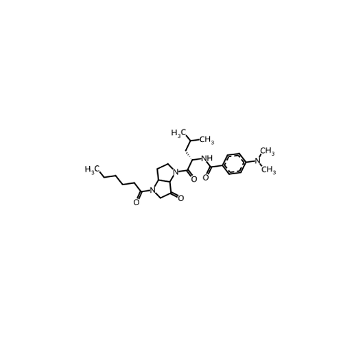 CCCCCC(=O)N1CC(=O)C2C1CCN2C(=O)[C@H](CC(C)C)NC(=O)c1ccc(N(C)C)cc1